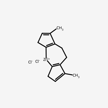 CC1=CC[C]2=C1CCC1=[C](CC=C1C)[Zr+2]2.[Cl-].[Cl-]